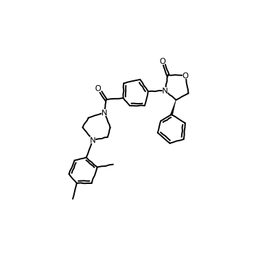 Cc1ccc(N2CCN(C(=O)c3ccc(N4C(=O)OC[C@H]4c4ccccc4)cc3)CC2)c(C)c1